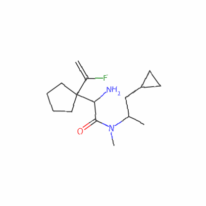 C=C(F)C1(C(N)C(=O)N(C)C(C)CC2CC2)CCCC1